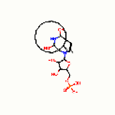 CC1C23C=CN(C4OC(COP(=O)(O)O)C(O)C4O)C1(CCCCCCCCCCCC2)C(O)NC3O